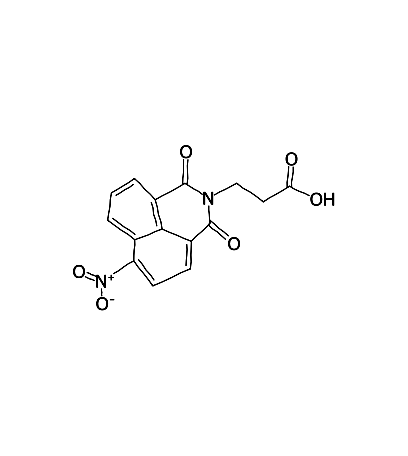 O=C(O)CCN1C(=O)c2cccc3c([N+](=O)[O-])ccc(c23)C1=O